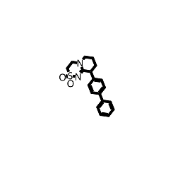 O=S1(=O)CCN2CCCC(c3ccc(-c4ccccc4)cc3)C2=N1